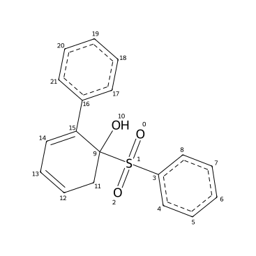 O=S(=O)(c1ccccc1)C1(O)CC=CC=C1c1ccccc1